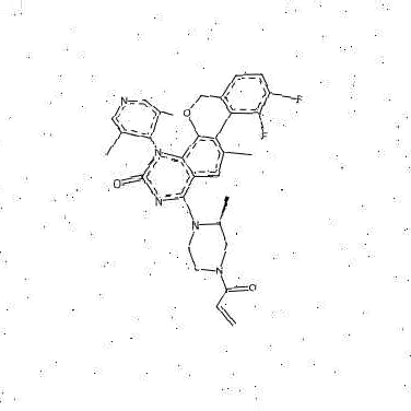 C=CC(=O)N1CCN(c2nc(=O)n(-c3c(C)cncc3C)c3c4c(c(C)cc23)-c2c(ccc(F)c2F)CO4)[C@@H](C)C1